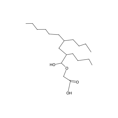 CCCCCCC(CCCC)CC(CCCC)C(O)OCC(=O)O